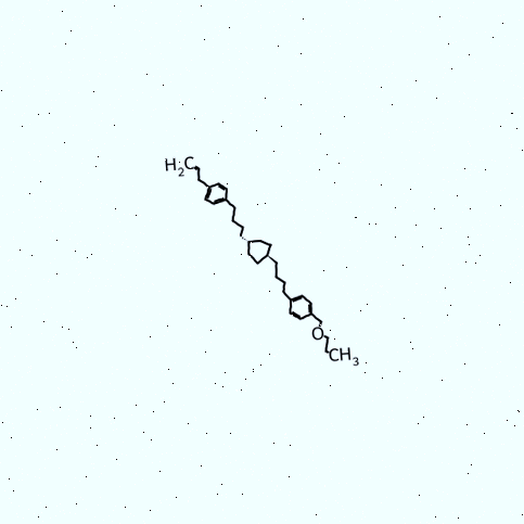 C=CCc1ccc(CCCC[C@H]2CC[C@H](CCCCc3ccc(COCCC)cc3)CC2)cc1